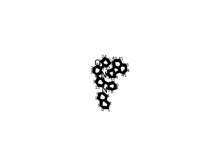 c1ccc2cc(-n3c4ccccc4c4c3ccc3c5ccc6oc7ccccc7c6c5n(-c5ccc6c(c5)-c5cccc7cccc-6c57)c34)ccc2c1